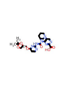 CC1(C)OC[C@@H](COc2ccnc(NC(=O)N3c4nc(C(=O)O)ncc4N4CCCC3C4)n2)O1